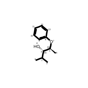 CC(C)[C@H](O)[C@H](C)Oc1ccccc1